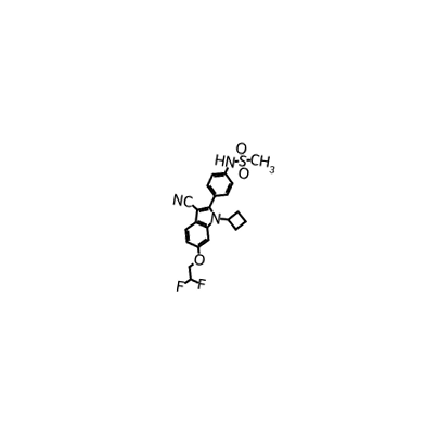 CS(=O)(=O)Nc1ccc(-c2c(C#N)c3ccc(OCC(F)F)cc3n2C2CCC2)cc1